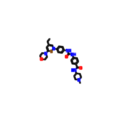 CCC1=CN(c2ccc(NC(=O)Nc3ccc(C(=O)NC4CCN(C)CC4)cc3)cc2)SC(N2CCOCC2)=C1